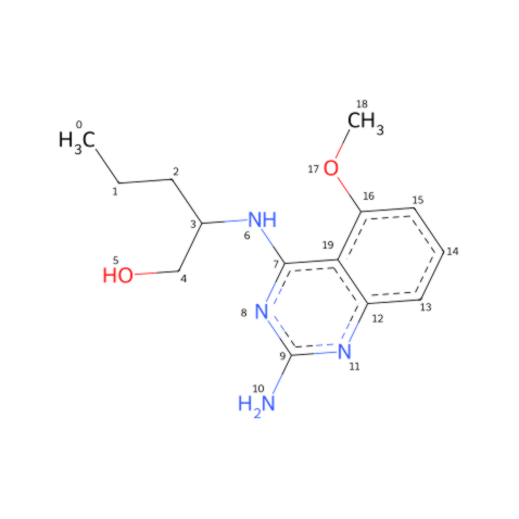 CCCC(CO)Nc1nc(N)nc2cccc(OC)c12